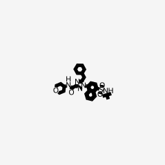 CC(C)(C)NS(=O)(=O)c1ccc(-n2nc(C(=O)NC3CCOCC3)nc2CC2CCCCC2)c2ccccc12